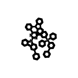 c1ccc(-c2cccc([Si](c3ccccc3)(c3ccccc3)c3cccc(-c4cc(-c5ccccc5C5c6ccccc6-c6ccccc65)nc(-n5c6ccccc6c6cc(-c7ccccc7)ccc65)n4)c3)c2)cc1